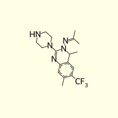 CC(C)=NN1C(N2CCNCC2)=Nc2cc(C)c(C(F)(F)F)cc2C1C